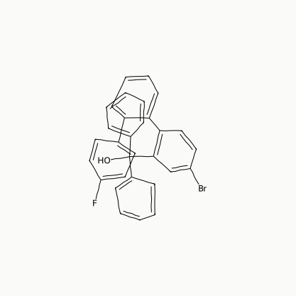 OC(c1ccccc1)(c1ccccc1)c1cc(Br)ccc1-c1ccccc1-c1ccc(F)cc1